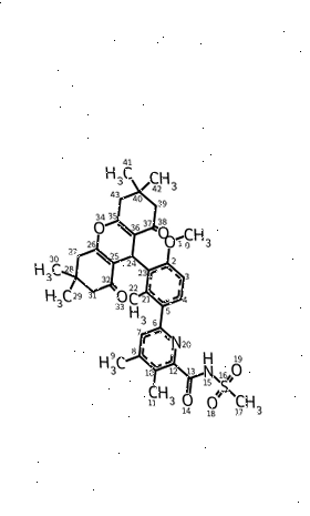 COc1ccc(-c2cc(C)c(C)c(C(=O)NS(C)(=O)=O)n2)c(C)c1C1C2=C(CC(C)(C)CC2=O)OC2=C1C(=O)CC(C)(C)C2